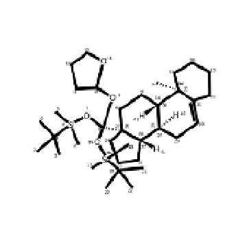 CC(C)(C)[Si](C)(C)OC(OC1CCCO1)(O[Si](C)(C)C(C)(C)C)[C@@]12CCC[C@H]1[C@@H]1CC=C3CCCC[C@]3(C)[C@H]1CC2